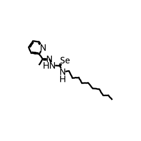 CCCCCCCCCCNC(=[Se])NN=C(C)c1ccccn1